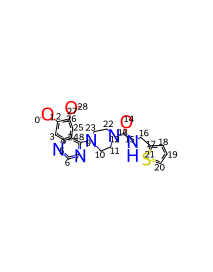 COc1cc2ncnc(N3CCN(C(=O)NCc4cccs4)CC3)c2cc1OC